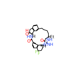 CC[C@]12CCCCc3ccc4c(c3)[C@@H](NC(=O)c3ccc5c(c3)[C@@H](CCC5(F)F)N(C(=N)N1)C(=O)C2)[C@H](O)C4